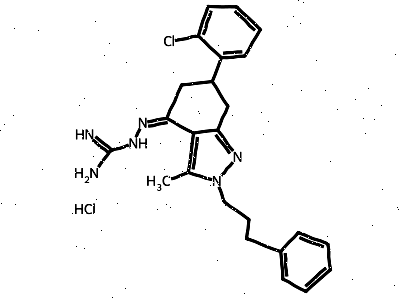 Cc1c2c(nn1CCCc1ccccc1)CC(c1ccccc1Cl)C/C2=N/NC(=N)N.Cl